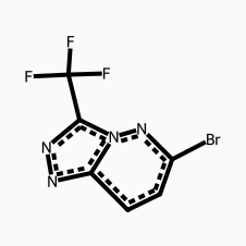 FC(F)(F)c1nnc2ccc(Br)nn12